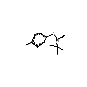 CN(Sc1ccc(Br)cc1)C(C)(C)C